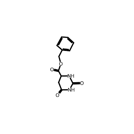 O=C1CC(C(=O)OCc2ccccc2)NC(=O)N1